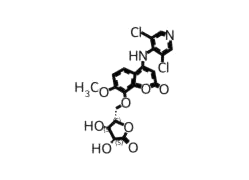 COc1ccc2c(Nc3c(Cl)cncc3Cl)cc(=O)oc2c1OC[C@@H]1OC(=O)[C@@H](O)[C@@H]1O